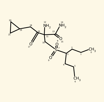 CCCC(CCC)S(=O)(=O)CC(N)(C(N)=O)C(=O)CC1CC1